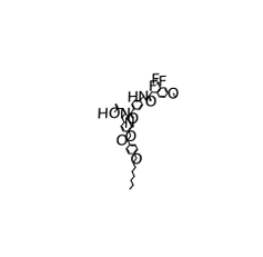 C=C(O)CN(Cc1ccc(OC(=O)c2ccc(OCCCCCCC)cc2)cn1)C(=O)c1ccc(NC(=O)Cc2ccc(OC)cc2C(F)(F)F)cc1